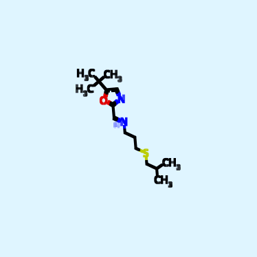 CC(C)CSCCC/N=C/c1ncc(C(C)(C)C)o1